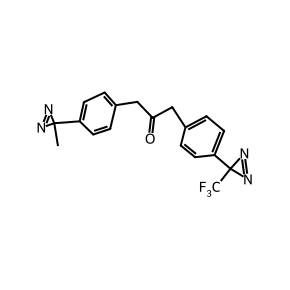 CC1(c2ccc(CC(=O)Cc3ccc(C4(C(F)(F)F)N=N4)cc3)cc2)N=N1